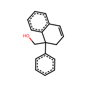 OCC1(c2ccccc2)CC=Cc2ccccc21